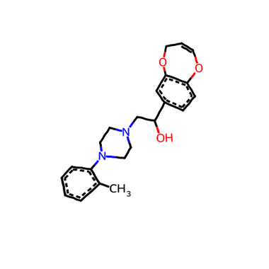 Cc1ccccc1N1CCN(CC(O)c2ccc3c(c2)OCC=CO3)CC1